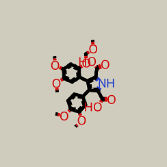 COCOc1cc(OC)c(OC)cc1-c1c(C(=O)O)[nH]c(C(=O)O)c1-c1ccc(OC)c(OC)c1